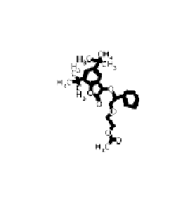 CC(=O)OCCOCC(OC1C(=O)Oc2c1cc(C(C)(C)C)cc2C(C)(C)C)c1ccccc1